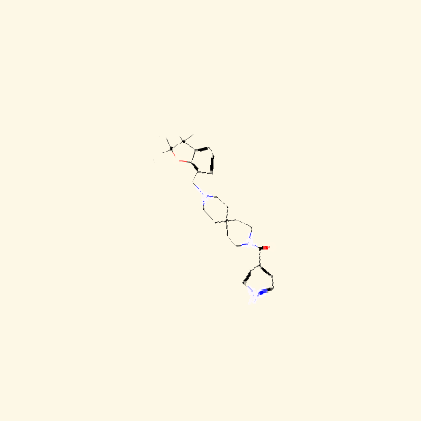 CC1(C)Oc2c(CN3CCC4(CC3)CCN(C(=O)c3[c]cncc3)CC4)cccc2C1(C)C